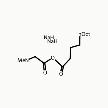 CCCCCCCCCCCC(=O)OC(=O)CNC.[NaH].[NaH]